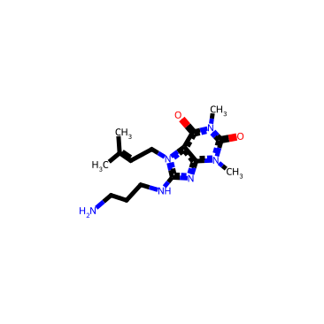 CC(C)=CCn1c(NCCCN)nc2c1c(=O)n(C)c(=O)n2C